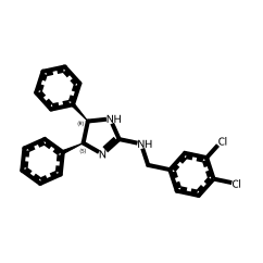 Clc1ccc(CNC2=N[C@@H](c3ccccc3)[C@@H](c3ccccc3)N2)cc1Cl